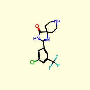 O=C1NC(c2cc(Cl)cc(C(F)(F)F)c2)=NC12CCNCC2